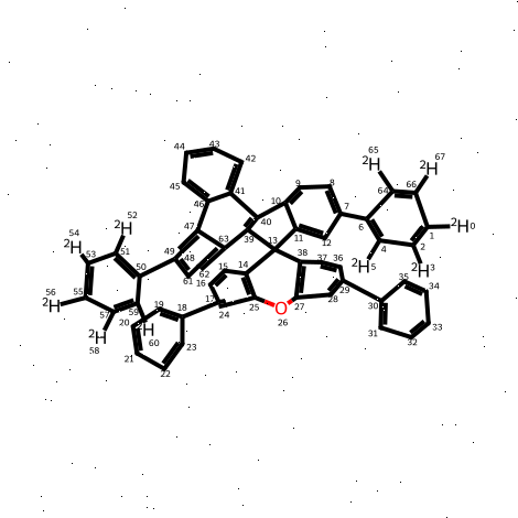 [2H]c1c([2H])c([2H])c(-c2ccc3c(c2)C2(c4ccc(-c5ccccc5)cc4Oc4cc(-c5ccccc5)ccc42)c2c-3c3ccccc3c3cc(-c4c([2H])c([2H])c([2H])c([2H])c4[2H])ccc23)c([2H])c1[2H]